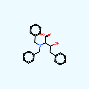 O=C(O)C(C(O)Cc1ccccc1)N(Cc1ccccc1)Cc1ccccc1